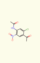 CC(=O)Nc1cc(Cl)c(C(C)=O)cc1[N+](=O)[O-]